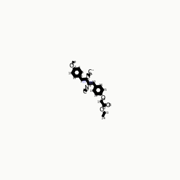 [C-]#[N+]C(=C\c1ccc(OC)cc1)/C(=C/c1ccc(OCC(=O)OCC)cc1)[N+]#[C-]